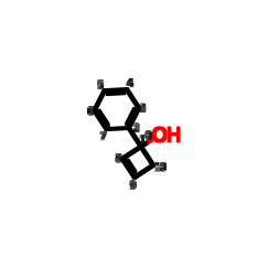 OC1(c2ccccc2)C=CC1